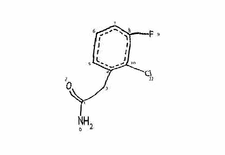 NC(=O)Cc1cccc(F)c1Cl